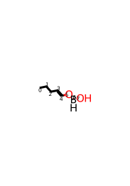 CCC/C=C/OBO